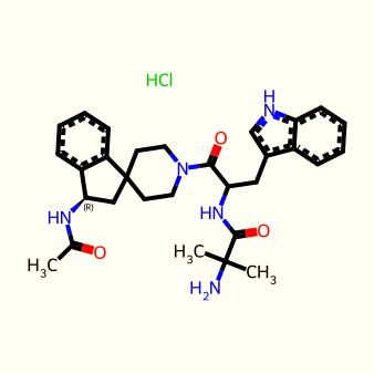 CC(=O)N[C@@H]1CC2(CCN(C(=O)C(Cc3c[nH]c4ccccc34)NC(=O)C(C)(C)N)CC2)c2ccccc21.Cl